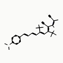 C/C(C#N)=C1\OC(C)(C)C(/C=C(/C=C/C=C/c2ccc(N(C)C)cc2)C(F)(F)F)=C1C#N